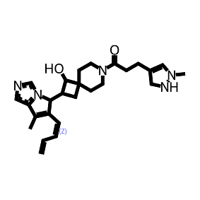 C=C/C=C\C1=C(C)c2cncn2C1C1CC2(CCN(C(=O)CCC3=CN(C)NC3)CC2)C1O